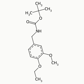 CCOc1ccc(CNC(=O)OC(C)(C)C)cc1OC